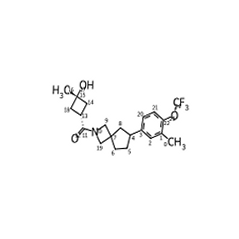 Cc1cc(C2CCC3(C2)CN(C(=O)[C@H]2C[C@@](C)(O)C2)C3)ccc1OC(F)(F)F